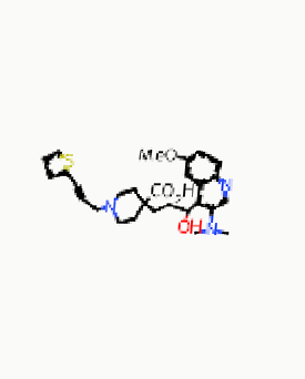 COc1ccc2ncc(N(C)C)c(C(O)CCC3(C(=O)O)CCN(CC#Cc4cccs4)CC3)c2c1